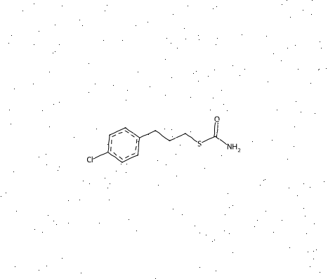 NC(=O)SCCCc1ccc(Cl)cc1